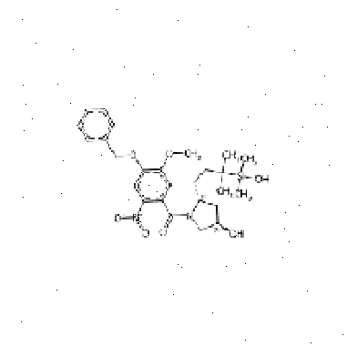 COc1cc(C(=O)N2C[C@H](O)C[C@H]2CCC(C)(C)[Si](C)(C)O)c([N+](=O)[O-])cc1OCc1ccccc1